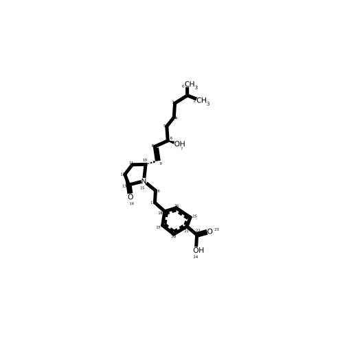 CC(C)CCC[C@@H](O)C=C[C@H]1CCC(=O)N1CCc1ccc(C(=O)O)cc1